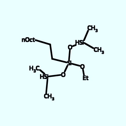 CCCCCCCCCC[Si](OCC)(O[SiH](C)C)O[SiH](C)C